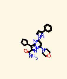 NC(=O)c1nn2c(N3CCOCC3)cc(-n3ccc(-c4ccccc4)n3)nc2c1C1CCCC1